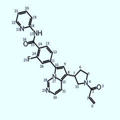 C=CC(=O)N1CCC(c2cc(-c3ccc(C(=O)Nc4ccccn4)c(F)c3)n3cnccc23)C1